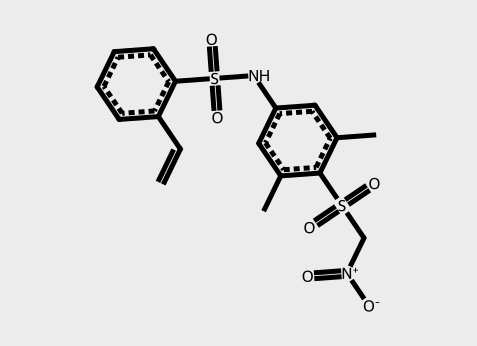 C=Cc1ccccc1S(=O)(=O)Nc1cc(C)c(S(=O)(=O)C[N+](=O)[O-])c(C)c1